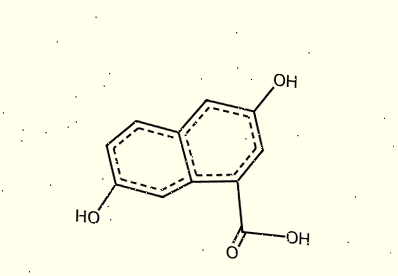 O=C(O)c1cc(O)cc2ccc(O)cc12